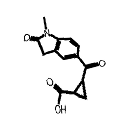 CN1C(=O)Cc2cc(C(=O)C3CC3C(=O)O)ccc21